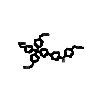 COCc1ccc(Nc2ccc(-c3ccc([N+](c4ccc(COC)cc4)(c4ccc(COC)cc4)c4ccc(COC)cc4)cc3)cc2)cc1